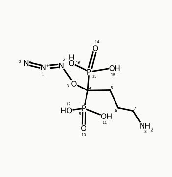 [N-]=[N+]=NOC(CCCN)(P(=O)(O)O)P(=O)(O)O